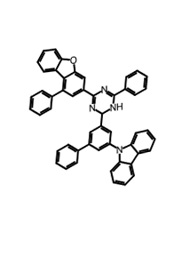 c1ccc(C2=NC(c3cc(-c4ccccc4)c4c(c3)oc3ccccc34)=NC(c3cc(-c4ccccc4)cc(-n4c5ccccc5c5ccccc54)c3)N2)cc1